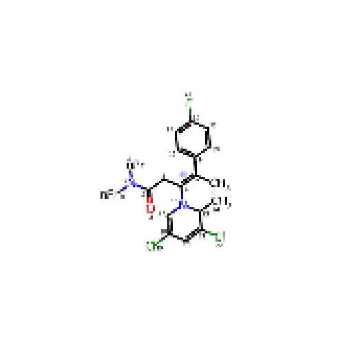 CCCN(CCC)C(=O)C/C(=C(/C)c1ccc(F)cc1)N1C=C(Cl)C=C(Cl)C1C